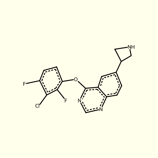 Fc1ccc(Oc2ncnc3ccc(C4CNC4)cc23)c(F)c1Cl